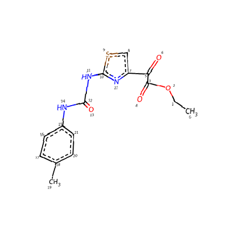 CCOC(=O)C(=O)c1csc(NC(=O)Nc2ccc(C)cc2)n1